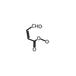 [O]OC(=O)/C=C\[C]=O